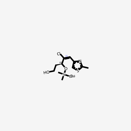 Cc1nc(/C=C(/Cl)[C@H](CCO)O[Si](C)(C)C(C)(C)C)cs1